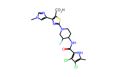 Cc1[nH]c(C(=O)NC2CCN(c3nc(-c4cn(C)cn4)c(C(=O)O)s3)CC2F)c(Cl)c1Cl